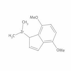 COc1ccc(OC)c2c1C=C[CH]2[Zr]([CH3])[CH3]